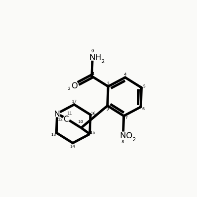 NC(=O)c1cccc([N+](=O)[O-])c1C1CN2CCC1CC2